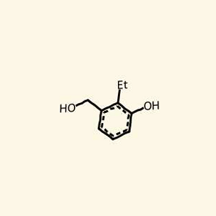 CCc1c(O)cccc1CO